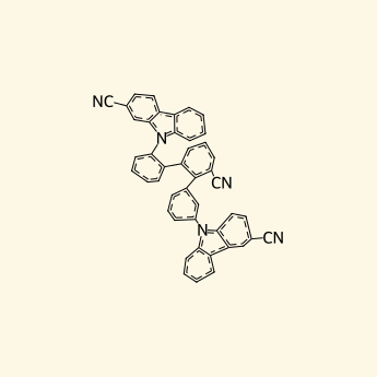 N#Cc1ccc2c(c1)c1ccccc1n2-c1cccc(-c2c(C#N)cccc2-c2ccccc2-n2c3ccccc3c3ccc(C#N)cc32)c1